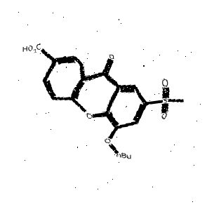 CCCCOc1cc(S(C)(=O)=O)cc2c(=O)c3cc(C(=O)O)ccc3oc12